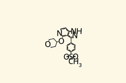 CS(=O)(=O)c1ccc(-c2n[nH]c3ccnc(OC4CCOCC4)c23)cc1